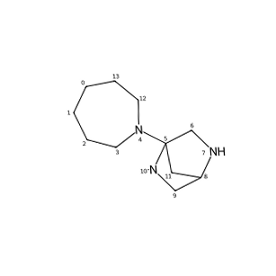 C1CCCN(C23CNC(C[N]2)C3)CC1